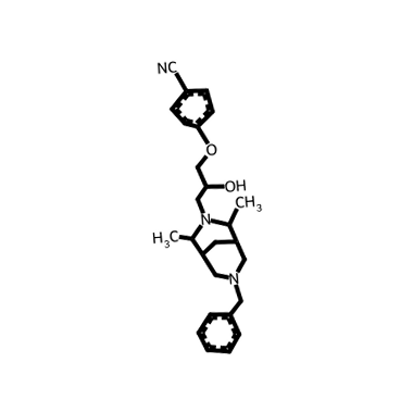 CC1C2CC(CN(Cc3ccccc3)C2)C(C)N1CC(O)COc1ccc(C#N)cc1